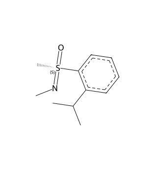 CN=[S@@](C)(=O)c1ccccc1C(C)C